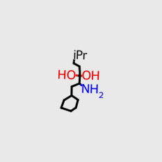 CC(C)CCC(O)(O)C(N)CC1CCCCC1